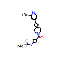 COC(=O)NC1CC(C(=O)N2CCC3(CC2)CC(c2ccnc(C(C)(C)C)c2)C3)C1